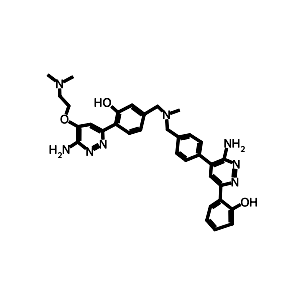 CN(C)CCOc1cc(-c2ccc(CN(C)Cc3ccc(-c4cc(-c5ccccc5O)nnc4N)cc3)cc2O)nnc1N